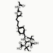 CC(=O)Nc1nc(CCCc2ccc(CNC(N(C(=O)O)C(C)(C)C)N(C(=O)O)C(C)(C)C)cc2)cs1